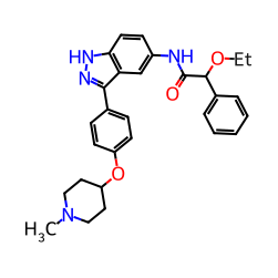 CCOC(C(=O)Nc1ccc2[nH]nc(-c3ccc(OC4CCN(C)CC4)cc3)c2c1)c1ccccc1